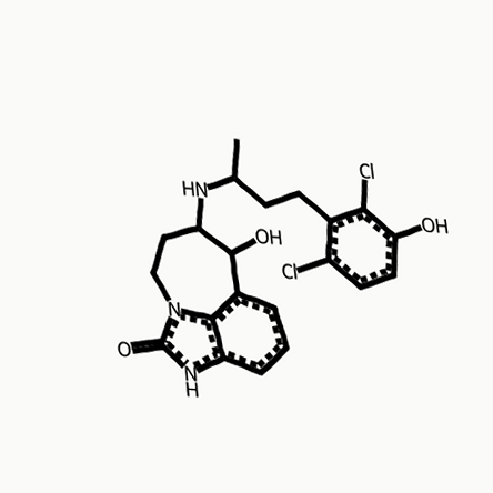 CC(CCc1c(Cl)ccc(O)c1Cl)NC1CCn2c(=O)[nH]c3cccc(c32)C1O